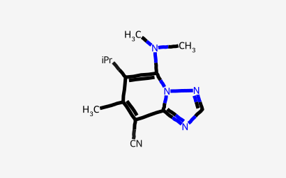 Cc1c(C(C)C)c(N(C)C)n2ncnc2c1C#N